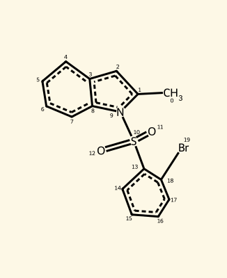 Cc1cc2ccccc2n1S(=O)(=O)c1ccccc1Br